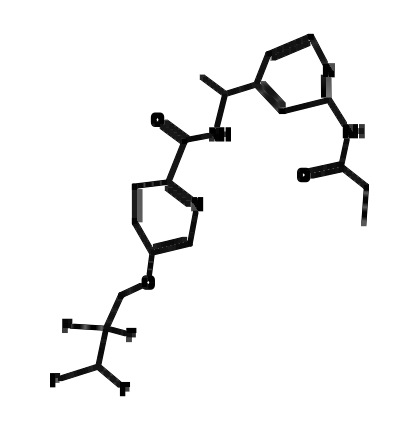 CCC(=O)Nc1cc(C(C)NC(=O)c2ccc(OCC(F)(F)C(F)F)cn2)ccn1